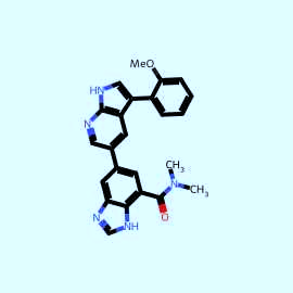 COc1ccccc1-c1c[nH]c2ncc(-c3cc(C(=O)N(C)C)c4[nH]cnc4c3)cc12